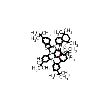 Cc1cc2c3c(c1)N(c1ccc4c(c1)C(C)(C)CCC4(C)C)c1c(sc4cc(C(C)(C)C)ccc14)B3c1ccc(C(C)(C)C)cc1N2c1ccc(C(C)(C)C)cc1-c1ccc(C(C)(C)C)cc1